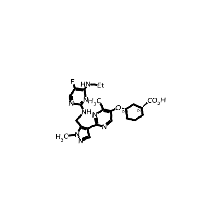 CCNc1nc(NCc2c(-c3ncc(O[C@H]4CCC[C@H](C(=O)O)C4)c(C)n3)cnn2C)ncc1F